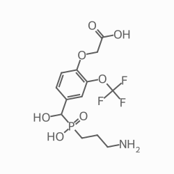 NCCCP(=O)(O)C(O)c1ccc(OCC(=O)O)c(OC(F)(F)F)c1